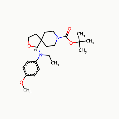 CCN(c1ccc(OC)cc1)[C@@H]1OCCC12CCN(C(=O)OC(C)(C)C)CC2